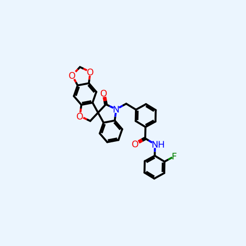 O=C(Nc1ccccc1F)c1cccc(CN2C(=O)C3(COc4cc5c(cc43)OCO5)c3ccccc32)c1